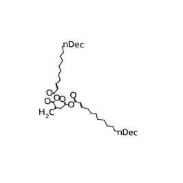 C=C(CC(=O)OC(=O)C=CCCCCCCCCCCCCCCCCCC)C(=O)OC(=O)C=CCCCCCCCCCCCCCCCCCC